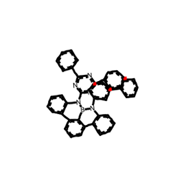 c1ccc(-c2cccc(N3B4c5c(cccc5-c5ccccc5N4c4nc(-c5ccccc5)nc(-c5ccccc5)n4)-c4ccccc43)c2)cc1